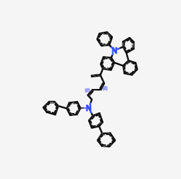 C=C(/C=C\C=C/CN(c1ccc(-c2ccccc2)cc1)c1ccc(-c2ccccc2)cc1)c1ccc2c(c1)-c1ccccc1-c1ccccc1N2c1ccccc1